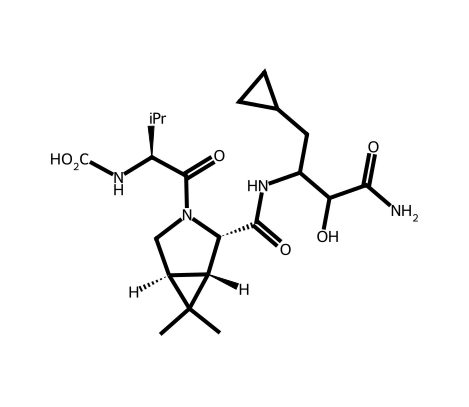 CC(C)[C@H](NC(=O)O)C(=O)N1C[C@H]2[C@H]([C@H]1C(=O)NC(CC1CC1)C(O)C(N)=O)C2(C)C